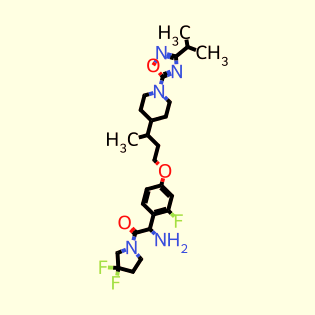 CC(C)c1noc(N2CCC(C(C)CCOc3ccc(C(N)C(=O)N4CCC(F)(F)C4)c(F)c3)CC2)n1